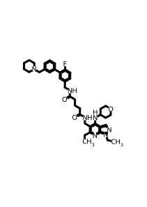 CCc1nc2c(cnn2CC)c(NC2CCOCC2)c1CNC(=O)CCCC(=O)NCc1ccc(F)c(-c2cccc(CN3CCCCC3)c2)c1